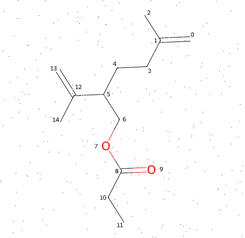 C=C(C)CCC(COC(=O)CC)C(=C)C